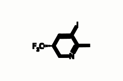 CC1=NC[C@H](C(F)(F)F)C=C1I